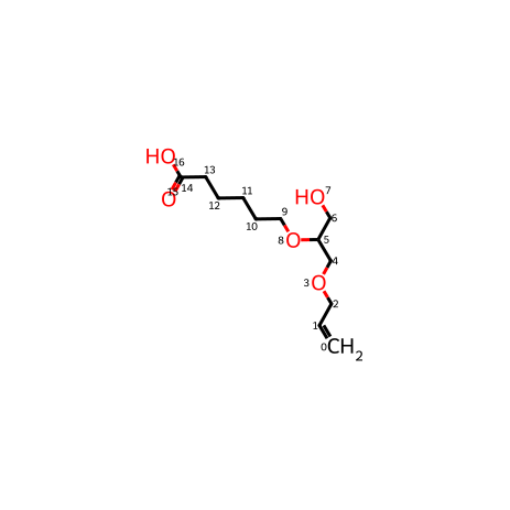 C=CCOCC(CO)OCCCCCC(=O)O